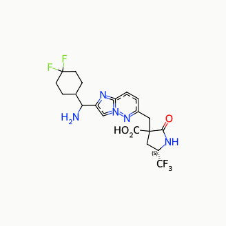 NC(c1cn2nc(CC3(C(=O)O)C[C@@H](C(F)(F)F)NC3=O)ccc2n1)C1CCC(F)(F)CC1